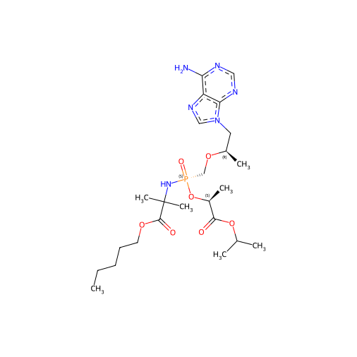 CCCCCOC(=O)C(C)(C)N[P@](=O)(CO[C@H](C)Cn1cnc2c(N)ncnc21)O[C@@H](C)C(=O)OC(C)C